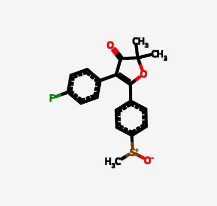 C[S+]([O-])c1ccc(C2=C(c3ccc(F)cc3)C(=O)C(C)(C)O2)cc1